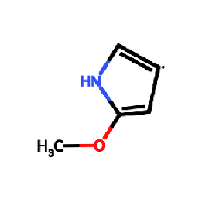 COc1c[c]c[nH]1